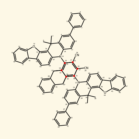 CC1(C)c2cc(-c3ccccc3)ccc2N(c2c(C#N)c(C#N)c(N3c4ccc(-c5ccccc5)cc4C(C)(C)c4c3ccc3c4oc4ccccc43)c3c2C2c4ccccc4C3c3ccccc32)c2ccc3c(oc4ccccc43)c21